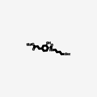 CCCCCCCCCCCCCCNC(=O)[C@@H]1CCC(CCC(=O)OC(C)(C)C)C[C@@H]1O